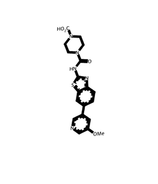 COc1cncc(-c2ccc3nc(NC(=O)N4CCN(C(=O)O)CC4)sc3c2)c1